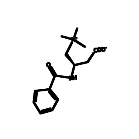 C[N+](C)(C)C[C@@H](CC(=O)[O-])NC(=O)c1ccccc1